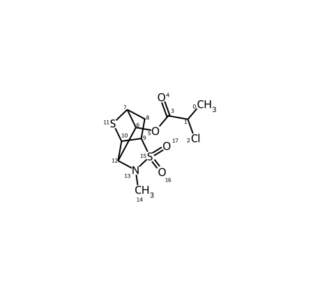 CC(Cl)C(=O)OC1C2CC3C(S2)C1N(C)S3(=O)=O